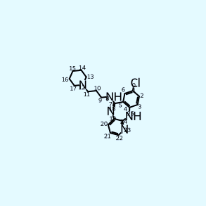 Clc1ccc2c(c1)C(NCCCN1CCCCC1)=Nc1cccnc1N2